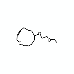 CCOCCOC1CC/C=C\CC/C=C\CCC1